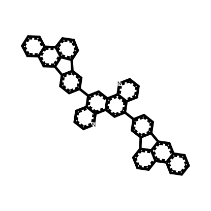 c1ccc2c(c1)cc1c3c(cccc32)-c2cc(-c3cc4c(cc(-c5ccc6c(c5)-c5cccc7c5c-6cc5ccccc57)c5cccnc54)c4ncccc34)ccc2-1